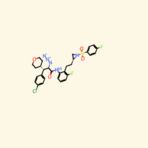 [N-]=[N+]=N[C@@H](C(=O)Nc1cccc(F)c1CC[C@H]1CN1S(=O)(=O)c1ccc(F)cc1)[C@H](c1ccc(Cl)cc1)C1CCOCC1